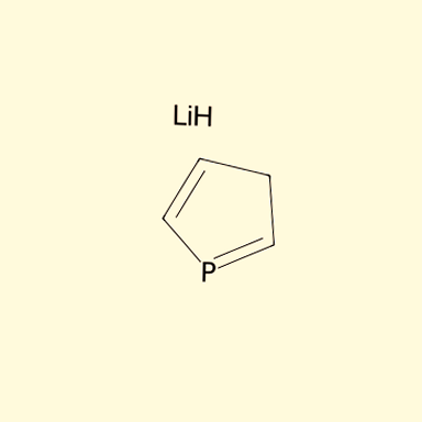 C1=CP=CC1.[LiH]